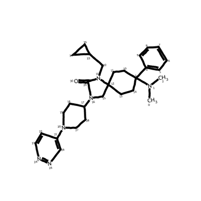 CN(C)C1(c2ccccc2)CCC2(CC1)CN(C1CCN(c3ccnnc3)CC1)C(=O)N2CC1CC1